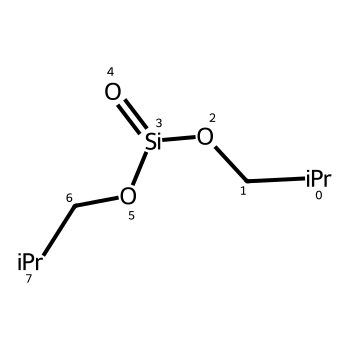 CC(C)CO[Si](=O)OCC(C)C